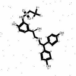 O=S(=O)(CC(F)(F)F)Nc1cc([C@@H](O)CNCC(c2ccc(O)cc2)c2ccc(O)cc2)ccc1O